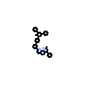 C=C1C(c2ccccc2)=CC(c2ccccc2)=CC1c1ccc(-c2cccc(-c3ccc4c(n3)C3=C(CC4)C(c4ccccc4)CC(C)=N3)c2)cc1